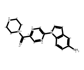 Nc1ccc2c(ccn2-c2cnc(C(=O)N3CCOCC3)cn2)c1